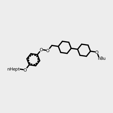 CCCCCCCOc1ccc(OOCC2CCC(C3CCC(OCCCC)CC3)CC2)cc1